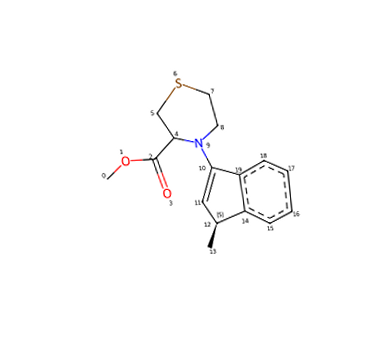 COC(=O)C1CSCCN1C1=C[C@H](C)c2ccccc21